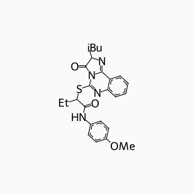 CCC(SC1=Nc2ccccc2C2=NC(C(C)CC)C(=O)N12)C(=O)Nc1ccc(OC)cc1